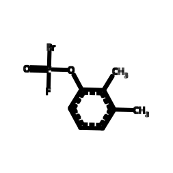 Cc1cccc(OP(=O)(F)Br)c1C